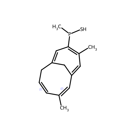 CC1=C(P(C)S)C=C2C/C=C\C(C)=C/C(=C1)C2